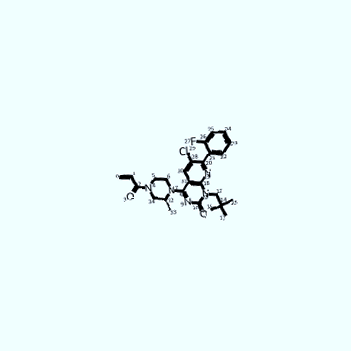 C=CC(=O)N1CCN(c2nc(=O)n(CC(C)(C)C)c3nc(-c4ccccc4F)c(Cl)cc23)[C@@H](C)C1